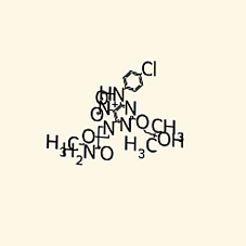 CCOC1(C(N)=O)CN(c2nc(OCC(C)(C)O)nc(Nc3ccc(Cl)cc3)c2[N+](=O)[O-])C1